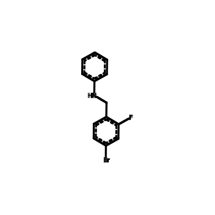 Fc1cc(Br)ccc1CNc1ccccc1